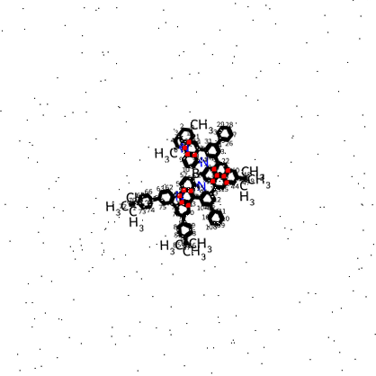 CC1CC2CC(C)N(c3ccc4c(c3)N(c3c(-c5ccccc5)cc(-c5ccccc5)cc3-c3ccccc3)c3cc(-c5ccc(C(C)(C)C)cc5)cc5c3B4c3ccc(-n4c6ccc(-c7ccc(C(C)(C)C)cc7)cc6c6cc(-c7ccc(C(C)(C)C)cc7)ccc64)cc3N5c3c(-c4ccccc4)cc(-c4ccccc4)cc3-c3ccccc3)C(C1)C2